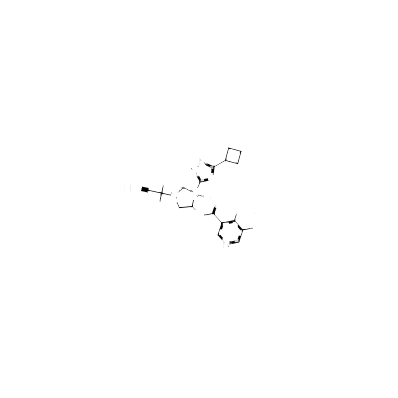 C#CC(C)(C)N1CC(OC(=O)c2cncc(C)c2C)[N+]([O-])(c2nnc(C3CCC3)s2)C1